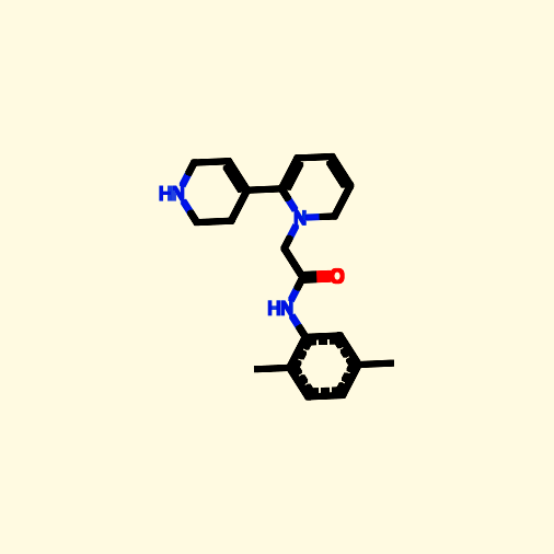 Cc1ccc(C)c(NC(=O)CN2CC=CC=C2C2=CCNCC2)c1